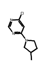 CC1CCN(c2cc(Cl)ncn2)C1